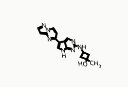 CC1(O)CC(Nc2ncc3c(-c4ccn5nccc5n4)c[nH]c3n2)C1